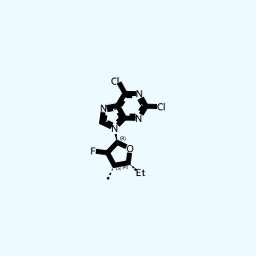 CC[C@H]1O[C@@H](n2cnc3c(Cl)nc(Cl)nc32)C(F)[C@H]1C